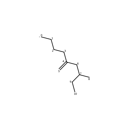 [CH2]CCCC(=C)CC(C)CC